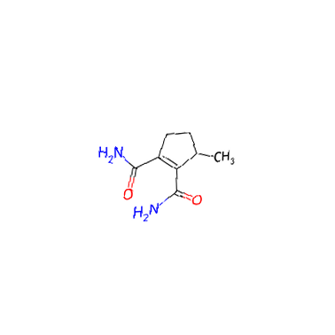 CC1CCC(C(N)=O)=C1C(N)=O